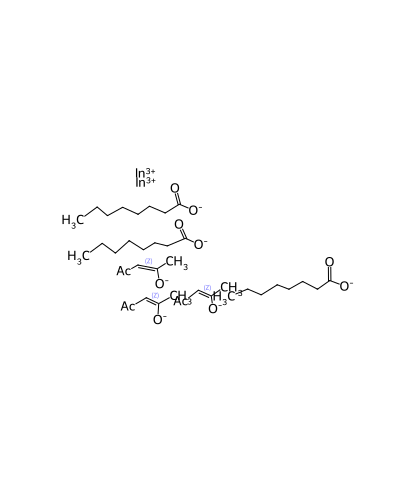 CC(=O)/C=C(/C)[O-].CC(=O)/C=C(/C)[O-].CC(=O)/C=C(/C)[O-].CCCCCCCC(=O)[O-].CCCCCCCC(=O)[O-].CCCCCCCC(=O)[O-].[In+3].[In+3]